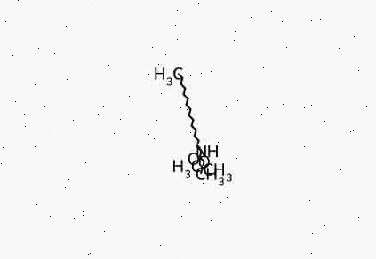 CCCCCCCCCCCCCCCNC(=O)OC(C)(C)C